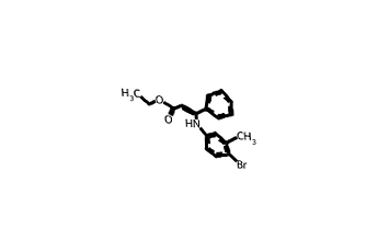 CCOC(=O)/C=C(\Nc1ccc(Br)c(C)c1)c1ccccc1